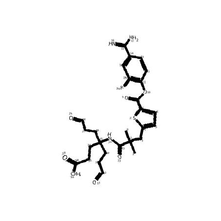 CC(C)(Cc1ccc(C(=O)Oc2ccc(C(=N)N)cc2F)s1)C(=O)NC(CCC=O)(CCC=O)CCC(=O)O